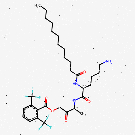 CCCCCCCCCCCC(=O)N[C@@H](CCCCN)C(=O)N[C@@H](C)C(=O)COC(=O)c1c(C(F)(F)F)cccc1C(F)(F)F